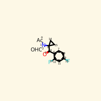 CC(=O)N(C=O)C1(C(=O)c2ccc(F)cc2F)CC1